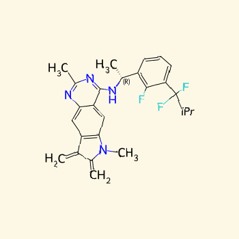 C=c1c(=C)n(C)c2cc3c(N[C@H](C)c4cccc(C(F)(F)C(C)C)c4F)nc(C)nc3cc12